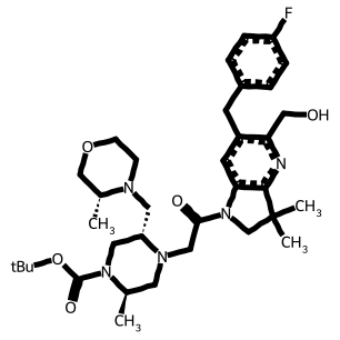 C[C@@H]1COCCN1C[C@H]1CN(C(=O)OC(C)(C)C)[C@H](C)CN1CC(=O)N1CC(C)(C)c2nc(CO)c(Cc3ccc(F)cc3)cc21